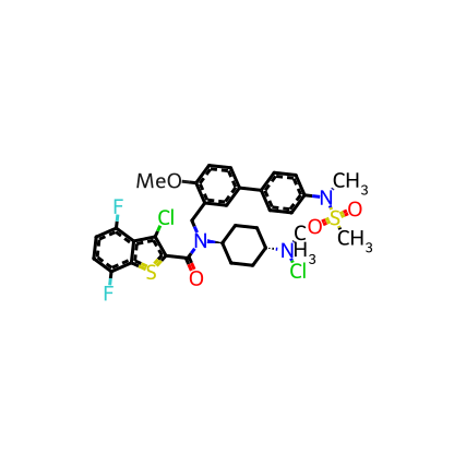 COc1ccc(-c2ccc(N(C)S(C)(=O)=O)cc2)cc1CN(C(=O)c1sc2c(F)ccc(F)c2c1Cl)[C@H]1CC[C@H](N(C)Cl)CC1